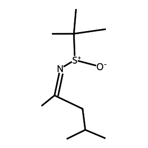 C/C(CC(C)C)=N/[S+]([O-])C(C)(C)C